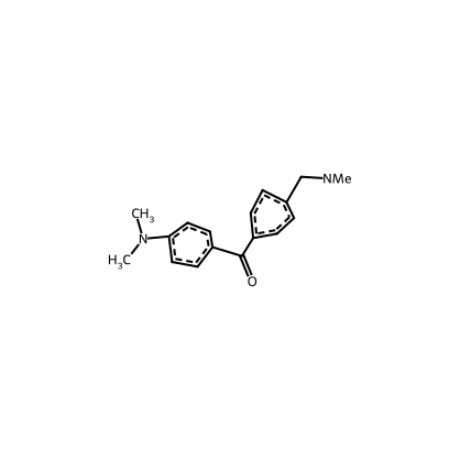 CNCc1ccc(C(=O)c2ccc(N(C)C)cc2)cc1